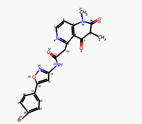 CC1C(=O)c2c(ccnc2CC(=O)Nc2cc(-c3ccc(Br)cc3)on2)N(C)C1=O